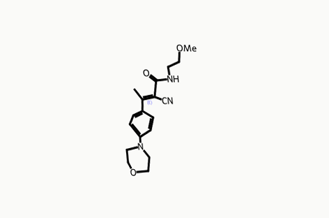 COCCNC(=O)/C(C#N)=C(\C)c1ccc(N2CCOCC2)cc1